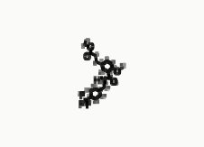 CCOC(=O)CCc1ccc(OC)c(C(=O)NCc2ccc(C(F)(F)F)cc2)c1